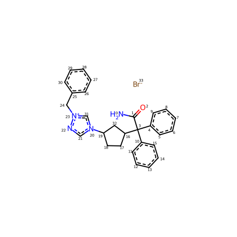 NC(=O)C(c1ccccc1)(c1ccccc1)C1CCC(n2cn[n+](Cc3ccccc3)c2)C1.[Br-]